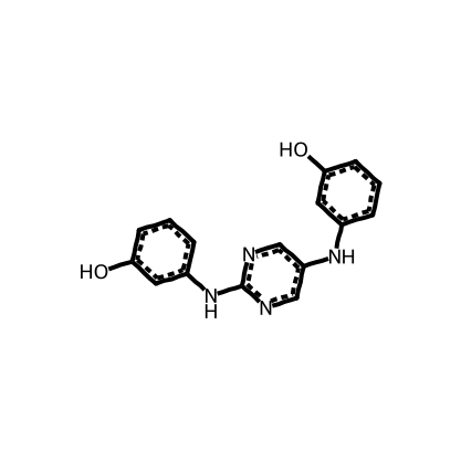 Oc1cccc(Nc2cnc(Nc3cccc(O)c3)nc2)c1